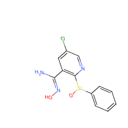 NC(=NO)c1cc(Cl)cnc1[S+]([O-])c1ccccc1